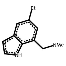 CCc1cc(CNC)c2[nH]ccc2c1